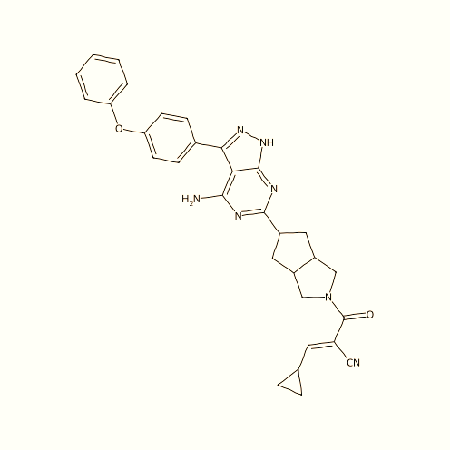 N#CC(=CC1CC1)C(=O)N1CC2CC(c3nc(N)c4c(-c5ccc(Oc6ccccc6)cc5)n[nH]c4n3)CC2C1